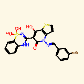 O=c1c(C2=NS(O)(O)c3ccccc3N2)c(O)c2sccc2n1/N=C/c1cccc(Br)c1